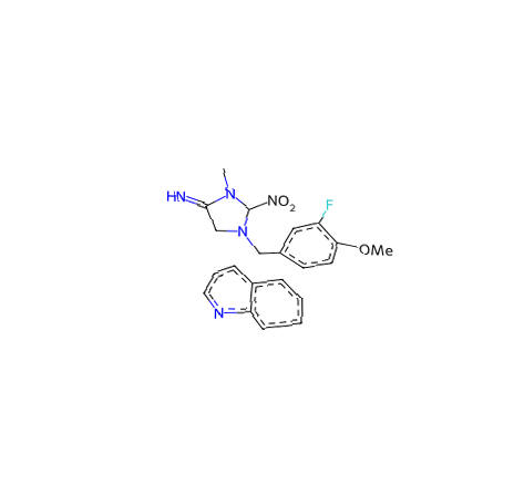 COc1ccc(CN2CC(=N)N(C)C2[N+](=O)[O-])cc1F.c1ccc2ncccc2c1